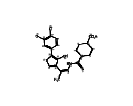 CC(=NNC(=S)N1CCC(C(=O)O)CC1)c1csc(-c2ccc(Cl)c(Cl)c2)c1O